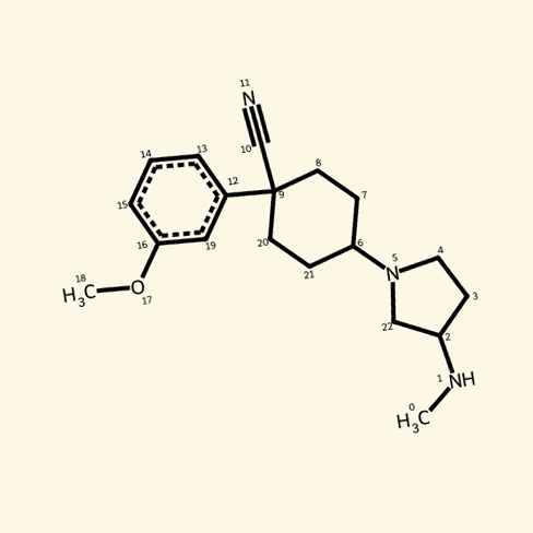 CNC1CCN(C2CCC(C#N)(c3cccc(OC)c3)CC2)C1